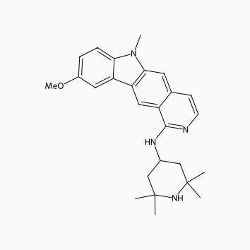 COc1ccc2c(c1)c1cc3c(NC4CC(C)(C)NC(C)(C)C4)nccc3cc1n2C